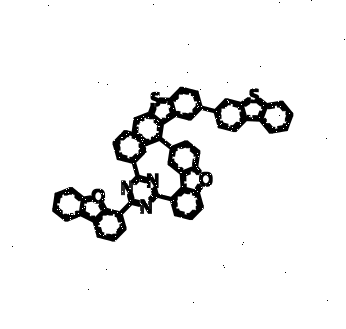 c1ccc(-c2nc(-c3cccc4c3oc3ccccc34)nc(-c3cccc4oc5ccc(-c6cccc7sc8ccc(-c9ccc%10c(c9)sc9ccccc9%10)cc8c67)cc5c34)n2)cc1